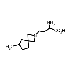 CC1CCC2(C1)CN(CCC(N)C(=O)O)C2